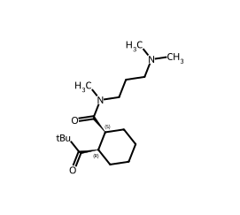 CN(C)CCCN(C)C(=O)[C@H]1CCCC[C@H]1C(=O)C(C)(C)C